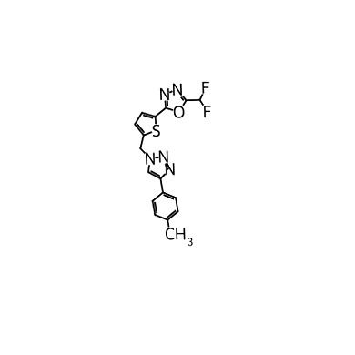 Cc1ccc(-c2cn(Cc3ccc(-c4nnc(C(F)F)o4)s3)nn2)cc1